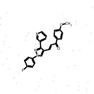 COc1ccc(C(=O)C=Cc2cn(-c3ccc(F)cc3)nc2-c2cccnc2)cc1